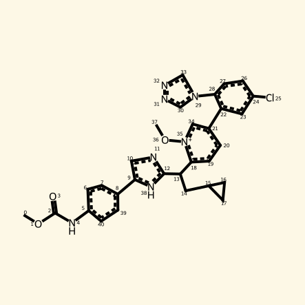 COC(=O)Nc1ccc(-c2cnc(C(CC3CC3)c3ccc(-c4cc(Cl)ccc4-n4cnnc4)c[n+]3OC)[nH]2)cc1